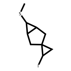 CSC1C2CC3(CC21)CC3I